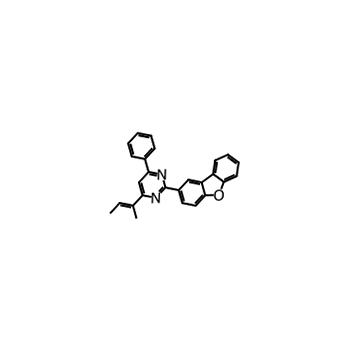 C/C=C(\C)c1cc(-c2ccccc2)nc(-c2ccc3oc4ccccc4c3c2)n1